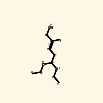 CCOC(C/C=C(\C)CO)OCC